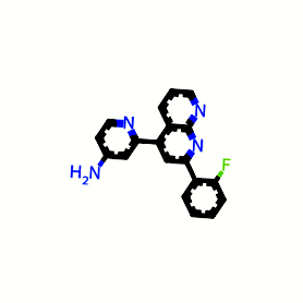 Nc1ccnc(-c2cc(-c3ccccc3F)nc3ncccc23)c1